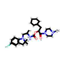 CC(=O)N1CCN(C(=O)C(CC2CCCCC2)OC(=O)NC(C)CN2c3ccc(F)cc3CC2(C)C)CC1